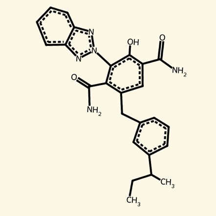 CCC(C)c1cccc(Cc2cc(C(N)=O)c(O)c(-n3nc4ccccc4n3)c2C(N)=O)c1